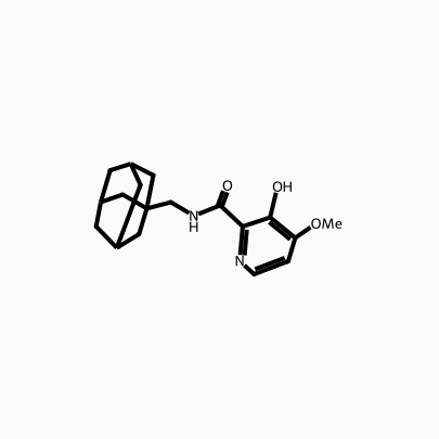 COc1ccnc(C(=O)NCC23CC4CC(CC(C4)C2)C3)c1O